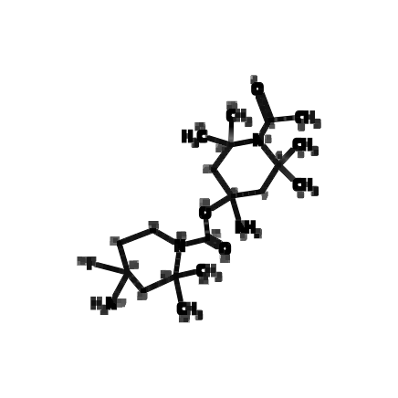 CC(=O)N1C(C)(C)CC(N)(OC(=O)N2CCC(N)(F)CC2(C)C)CC1(C)C